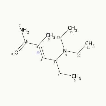 CCC(/C=C(\C)C(N)=O)N(CC)CC